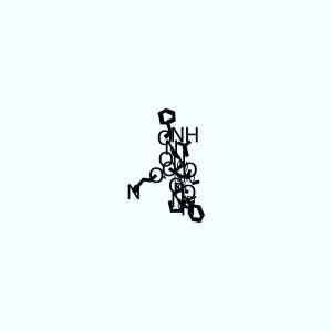 CC[C@H]1O[C@@H](n2cc(C)c(NC(=O)c3ccccc3)nc2=O)C(OCOCCC#N)[C@H]1O[P@@]1O[C@](C)(c2ccccc2)[C@@H]2CCCN21